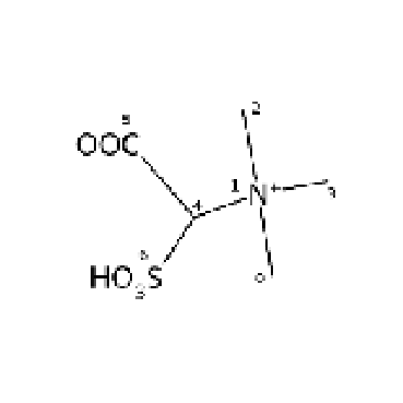 C[N+](C)(C)C(C(=O)[O-])S(=O)(=O)O